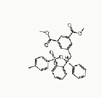 COC(=O)c1cc(C[PH](OS(=O)(=O)c2ccc(C)cc2)(c2ccccc2)c2ccccc2)cc(C(=O)OC)c1